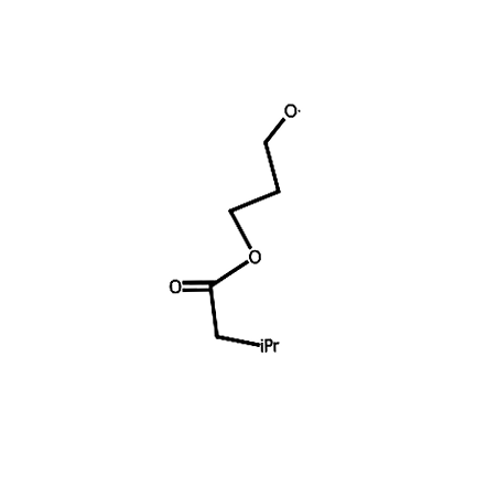 CC(C)CC(=O)OCCC[O]